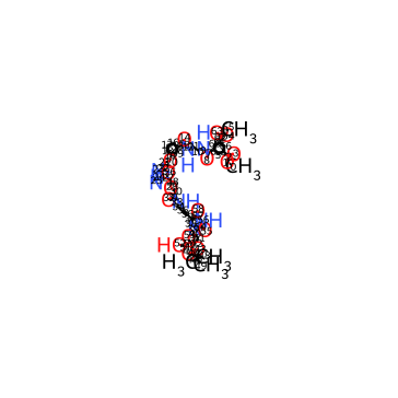 COC(=O)c1cc(C(=O)NCCNC(=O)c2cccc(OCC(N=[N+]=[N-])OCCOCC(=O)NCC#Cc3cn([C@H]4C[C@H](OC(=O)C(C)(C)C)[C@@H](CO)O4)c(=O)[nH]c3=O)c2)cc(C(=O)OC)c1